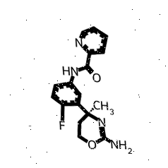 C[C@@]1(c2cc(NC(=O)c3ccccn3)ccc2F)CCOC(N)=N1